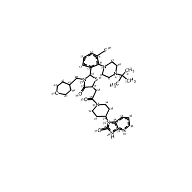 CC(C)(C)N1CCN(c2c(F)cccc2C2S[C@@H](CC(=O)N3CCC(n4c(=O)[nH]c5ncccc54)CC3)C(=O)N2CC2CCOCC2)CC1